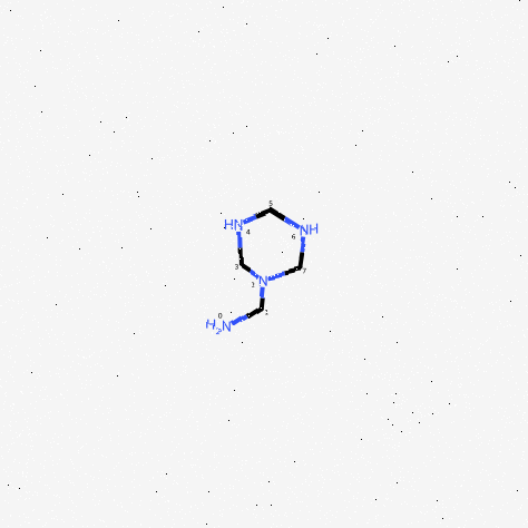 NCN1CNCNC1